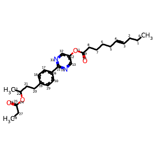 CCCC=CCCCCC(=O)Oc1cnc(-c2ccc(CCC(C)OC(=O)CC)cc2)nc1